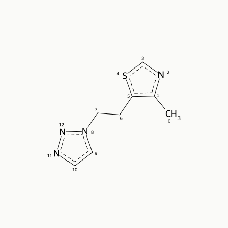 Cc1ncsc1CCn1ccnn1